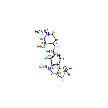 CCN(C[C@@H]1CCC(C)(C)OC1)c1ncnc(NCC2CCN(C(=O)O)CC2O)c1F